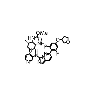 COC(=O)N[C@@H]1[C@H](N)CN(c2ccncc2Nc2ncc3ccc(-c4c(F)cc(OC5CCOC5)cc4F)nn23)C[C@@H]1C